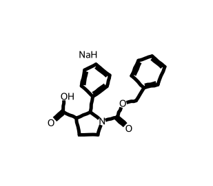 O=C(O)C1CCN(C(=O)OCc2ccccc2)C1c1ccccc1.[NaH]